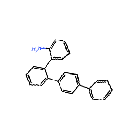 Nc1ccccc1-c1ccccc1-c1ccc(-c2ccccc2)cc1